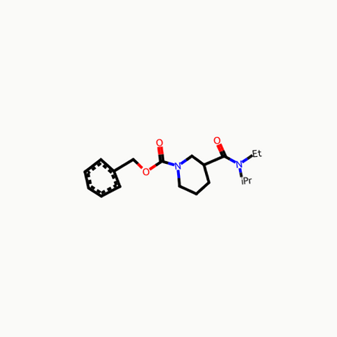 CCN(C(=O)C1CCCN(C(=O)OCc2ccccc2)C1)C(C)C